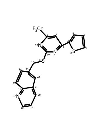 FC(F)(F)c1cc(-c2cccs2)nc(SCc2ccc3ncccc3c2)n1